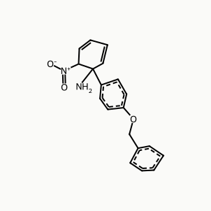 NC1(c2ccc(OCc3ccccc3)cc2)C=CC=CC1[N+](=O)[O-]